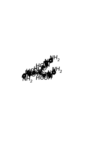 Nc1cccc(-c2ncnc3c2ncn3[C@@H]2O[C@H](COP(=O)(OC[C@H]3O[C@@H](n4cnc5c(-c6cccc(N)c6)ncnc54)[C@H](O)[C@@H]3O)OC[C@H]3O[C@@H](n4cnc5c(-c6cccc(N)c6)ncnc54)[C@H](O)[C@@H]3O)[C@@H](O)[C@H]2O)c1